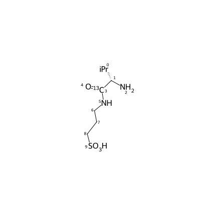 CC(C)[C@H](N)[13C](=O)NCCCS(=O)(=O)O